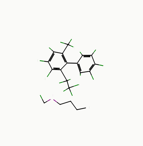 CCCCPCF.Fc1c(F)c(F)c(-c2c(C(F)(F)F)c(F)c(F)c(F)c2C(F)(F)C(F)(F)F)c(F)c1F